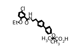 CCOc1ccc(Cl)cc1C(=O)NCCc1ccc(-c2ccc(OC(C)(C)C(=O)O)cc2)cc1